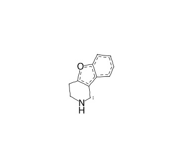 [C]1NCCc2oc3ccccc3c21